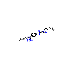 CN/C=C(\C=N)c1ccc(CNc2cc(-c3cnc4cc(C)ccn34)ncn2)cc1